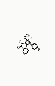 COc1nn(-c2ccc(F)cc2)c2c1C(=O)C(=O)c1ccccc1-2